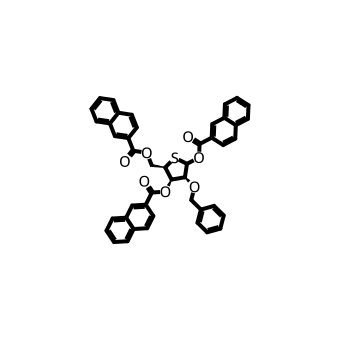 O=C(OC[C@H]1SC(OC(=O)c2ccc3ccccc3c2)[C@@H](OCc2ccccc2)[C@H]1OC(=O)c1ccc2ccccc2c1)c1ccc2ccccc2c1